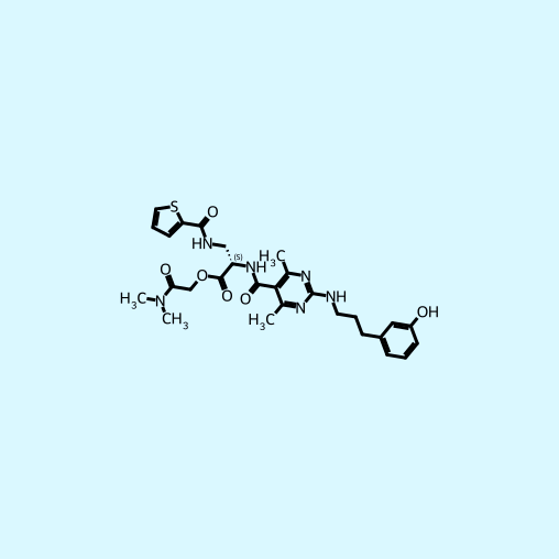 Cc1nc(NCCCc2cccc(O)c2)nc(C)c1C(=O)N[C@@H](CNC(=O)c1cccs1)C(=O)OCC(=O)N(C)C